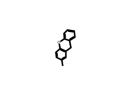 Cc1ccc2c(c1)Cc1ccccc1O2